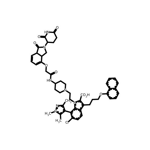 Cc1nn(C)c(C)c1-c1c(Cl)ccc2c(CCCOc3cccc4ccccc34)c(C(=O)O)n(CCN3CCC(NC(=O)COC4=CC=CC5C(=O)N(C6CCC(=O)NC6=O)CC45)CC3)c12